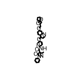 Cc1c(C(=O)Nc2ccc(Oc3ccnc4cc(OCC5CC6(CCCO6)O5)ccc34)cn2)c(=O)n(-c2ccccc2)n1C